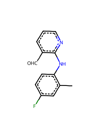 Cc1cc(F)ccc1Nc1ncccc1C=O